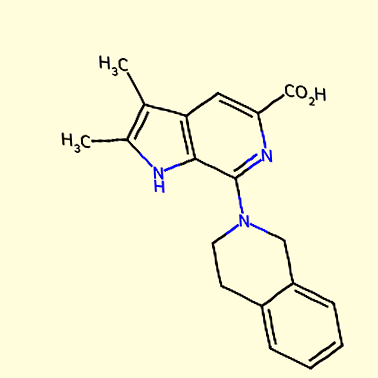 Cc1[nH]c2c(N3CCc4ccccc4C3)nc(C(=O)O)cc2c1C